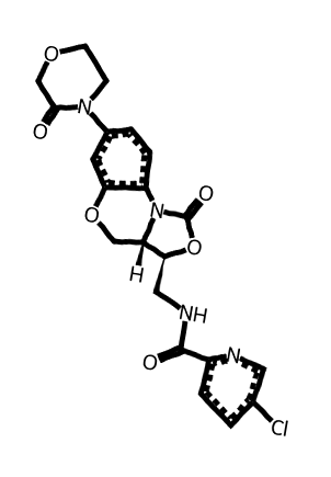 O=C(NC[C@@H]1OC(=O)N2c3ccc(N4CCOCC4=O)cc3OC[C@@H]12)c1ccc(Cl)cn1